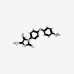 C=C1SC(=S)N(c2ccc(Oc3ccc(CCCC)cc3)cc2)C1=O